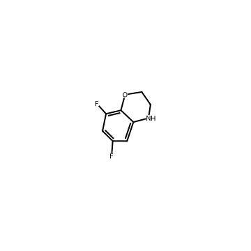 Fc1cc(F)c2c(c1)NCCO2